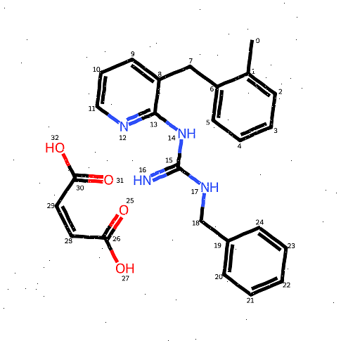 Cc1ccccc1Cc1cccnc1NC(=N)NCc1ccccc1.O=C(O)/C=C\C(=O)O